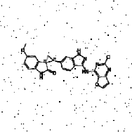 COc1ccc2c(c1)[C@]1(C[C@H]1c1ccc3c(Nc4nc(Cl)nc5ccoc45)n[nH]c3c1)C(=O)N2